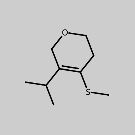 CSC1=C(C(C)C)COCC1